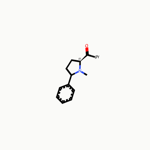 CC(C)C(=O)[C@@H]1CCC(c2ccccc2)N1C